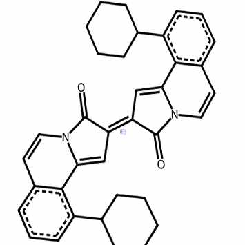 O=C1/C(=C2\C=C3c4c(cccc4C4CCCCC4)C=CN3C2=O)C=C2c3c(cccc3C3CCCCC3)C=CN12